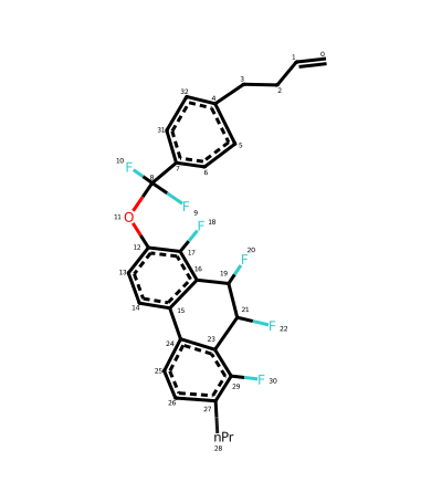 C=CCCc1ccc(C(F)(F)Oc2ccc3c(c2F)C(F)C(F)c2c-3ccc(CCC)c2F)cc1